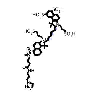 CN(CCCC(=O)NCCCn1ccnn1)[S+]([O-])c1cccc2c3c(ccc12)[N+](CCCS(=O)(=O)O)=C(/C=C/C=C/C=C1/N(CCCS(=O)(=O)O)c2ccc4c(S(=O)(=O)O)cc(S(=O)(=O)O)cc4c2C1(C)C)C3(C)C